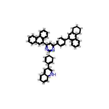 C=C(/C=C\C(=C/C)c1cc2c(c3ccccc13)CCCC2)c1cc(-c2cc3ccccc3c3ccccc23)nc([C@H]2C=CC(C3=CNC4C=CC=CC4=C3)=CC2)n1